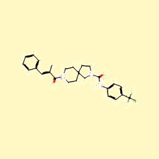 C/C(=C\c1ccccc1)C(=O)N1CCC2(CCN(C(=O)Nc3ccc(C(F)(F)F)cc3)C2)CC1